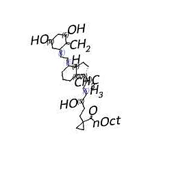 C=C1/C(=C\C=C2/CCC[C@]3(C)[C@@H]([C@H](C)/C=C/[C@@H](O)CCC4(C(=O)CCCCCCCC)CC4)CC[C@@H]23)C[C@@H](O)C[C@@H]1O